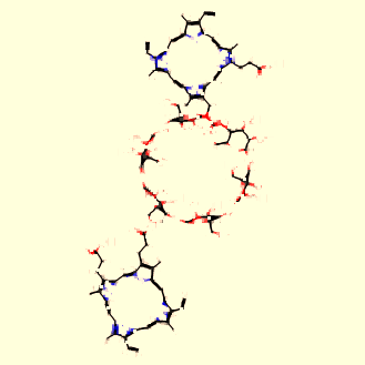 C=CC1=C(C)c2cc3[nH]c(cc4nc(cc5[nH]c(cc1n2)c(C)c5CCC(=O)O)C(CCC(=O)OCC1OC2OC5C(CO)OC(OC6C(CO)OC(O[C@@H]7C(COC(=O)CCc8c(C)c9cc%10nc(cc%11[nH]c(cc%12nc(cc8[nH]9)C(CCC(=O)O)=C%12C)c(C)c%11C=C)C(C)=C%10C=C)OC(OC8C(CO)OC(OC9C(CO)OC(OC1C(O)C2O)C(O)C9O)C(O)C8O)C(O)C7O)C(O)C6O)C(O)C5O)=C4C)c(C)c3C=C